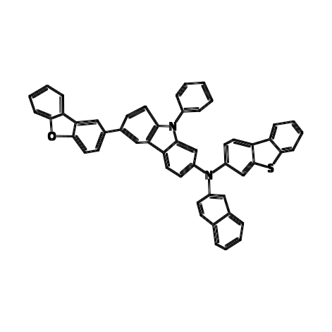 c1ccc(-n2c3ccc(-c4ccc5oc6ccccc6c5c4)cc3c3ccc(N(c4ccc5ccccc5c4)c4ccc5c(c4)sc4ccccc45)cc32)cc1